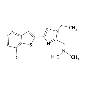 CCn1cc(-c2cc3nccc(Cl)c3s2)nc1CN(C)C